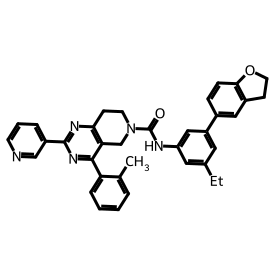 CCc1cc(NC(=O)N2CCc3nc(-c4cccnc4)nc(-c4ccccc4C)c3C2)cc(-c2ccc3c(c2)CCO3)c1